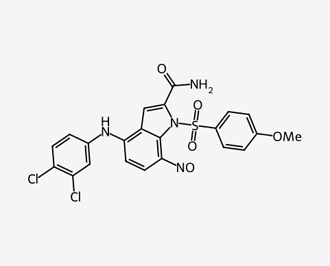 COc1ccc(S(=O)(=O)n2c(C(N)=O)cc3c(Nc4ccc(Cl)c(Cl)c4)ccc(N=O)c32)cc1